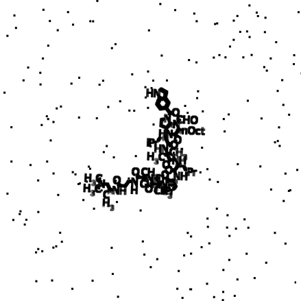 CCCCCCCC[C@@H](C(=O)N[C@@H](CC(C)C)C(=O)NC(C)(C)C(=O)N[C@@H](CC(C)C)C(=O)N[C@@H](CC(C)C)C(=O)NC(C)(C)C(=O)NC(C)(C)C(=O)NCCC(=O)N[C@@H](C)CN(C)C)N(C=O)[C@@H]1CCCN1C(=O)c1ccc2[nH]ccc2c1